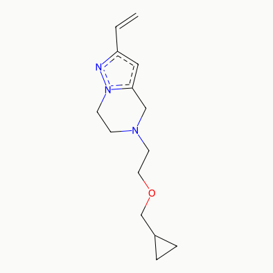 C=Cc1cc2n(n1)CCN(CCOCC1CC1)C2